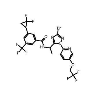 CC(NC(=O)c1cc(C2CC2(F)F)cc(C(F)(F)F)c1)c1nc(Br)nn1-c1ccc(OCC(F)(F)F)cn1